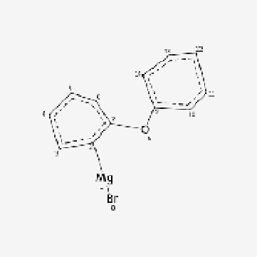 [Br][Mg][c]1ccccc1Oc1ccccc1